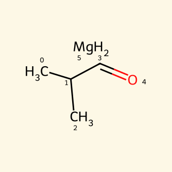 CC(C)C=O.[MgH2]